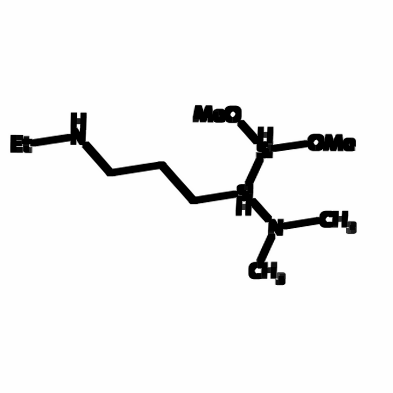 CCNCCC[SiH](N(C)C)[SiH](OC)OC